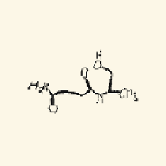 CC(CO)NC(=O)CCC(N)=O